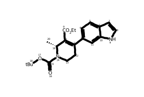 CCOC(=O)C1=C(c2ccc3cc[nH]c3c2)CCN(C(=O)OC(C)(C)C)[C@@H]1C